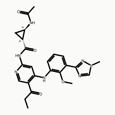 CCC(=O)c1cnc(NC(=O)[C@@H]2C[C@H]2NC(C)=O)cc1Nc1cccc(-c2ncn(C)n2)c1OC